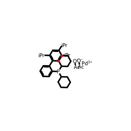 CC(=O)[O-].CC(=O)[O-].CC(C)c1cc(C(C)C)c(C(C)C)cc1-c1ccccc1P(C1CCCCC1)C1CCCCC1.[Pd+2]